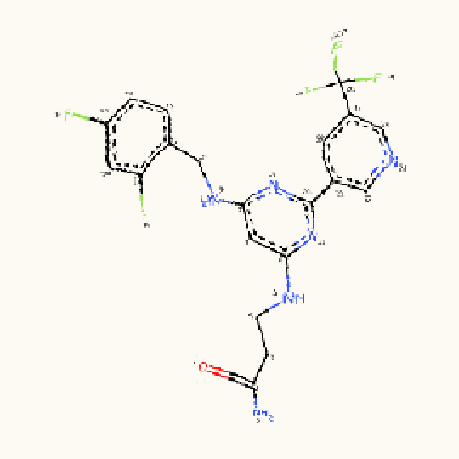 NC(=O)CCNc1cc(NCc2ccc(F)cc2F)nc(-c2cncc(C(F)(F)F)c2)n1